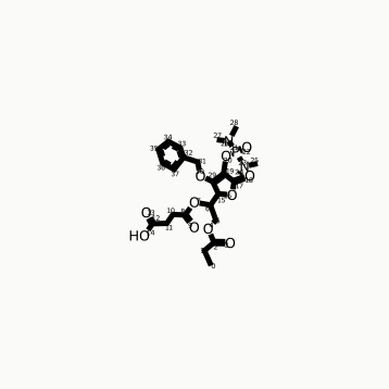 CCC(=O)OCC(OC(=O)CCC(=O)O)C1OC(=O)C(OP(=O)(N(C)C)N(C)C)=C1OCc1ccccc1